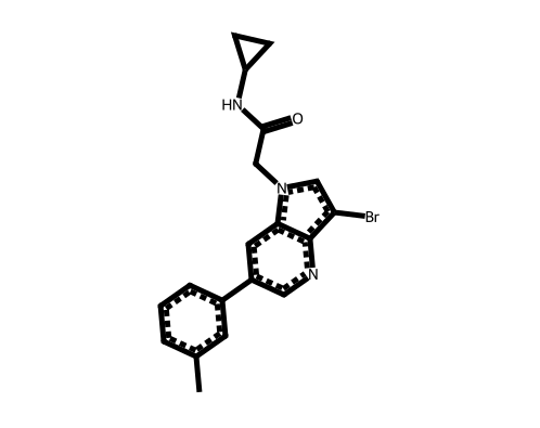 Cc1cccc(-c2cnc3c(Br)cn(CC(=O)NC4CC4)c3c2)c1